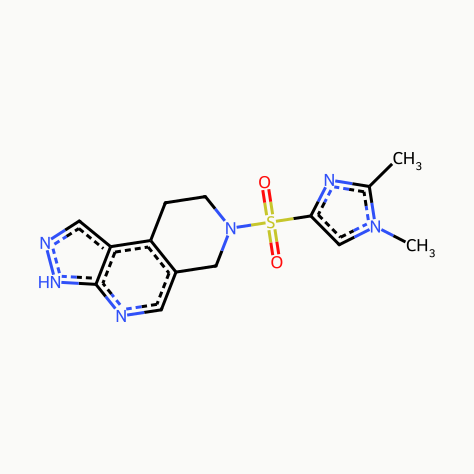 Cc1nc(S(=O)(=O)N2CCc3c(cnc4[nH]ncc34)C2)cn1C